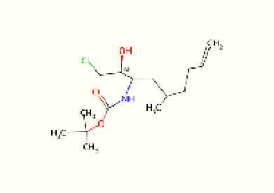 C=CCCC(C)CC(NC(=O)OC(C)(C)C)[C@H](O)CCl